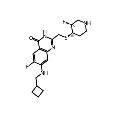 O=c1[nH]c(CS[C@@H]2CCNC[C@@H]2F)nc2cc(NCC3CCC3)c(F)cc12